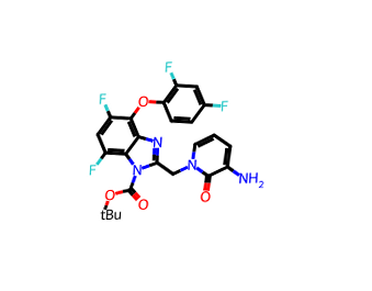 CC(C)(C)OC(=O)n1c(Cn2cccc(N)c2=O)nc2c(Oc3ccc(F)cc3F)c(F)cc(F)c21